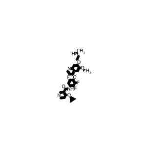 CNCCOc1cc2nccc(Oc3c(F)cc(NC(=O)c4cnccc4OC4CC4)c(F)c3F)c2cc1OC